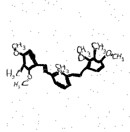 COc1ccc(/C=C/c2cccc(/C=C/c3ccc(OC)c(C)c3OC)[n+]2C)c(OC)c1C